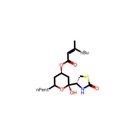 CCCCCC1C[C@@H](OC(=O)/C=C(/C)CCCC)C[C@](O)([C@@H]2CSC(=O)N2)O1